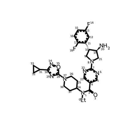 CCN(C(=O)c1cnc(N2C[C@H](c3cc(F)ccc3F)[C@@H](N)C2)nc1)C1CCN(c2nc(C3CC3)no2)CC1